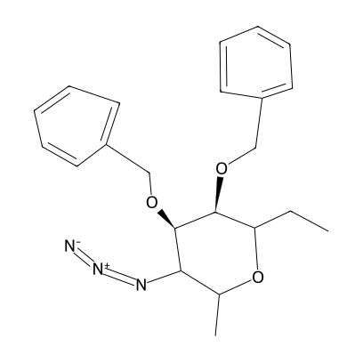 CCC1OC(C)C(N=[N+]=[N-])[C@@H](OCc2ccccc2)[C@H]1OCc1ccccc1